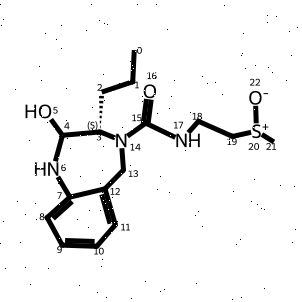 CCC[C@H]1C(O)Nc2ccccc2CN1C(=O)NCC[S+](C)[O-]